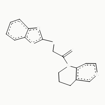 O=C(CSc1nc2ccccc2s1)N1CCCc2cnccc21